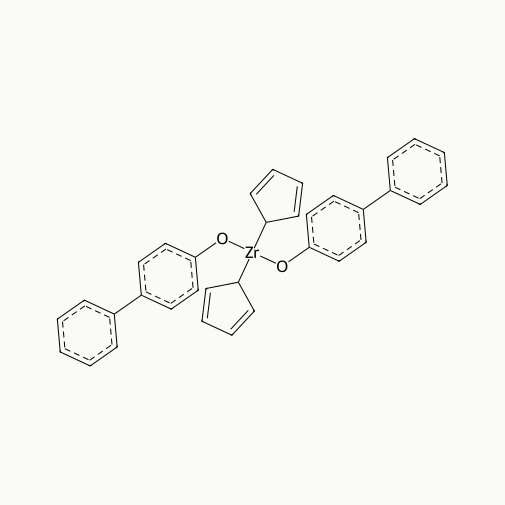 C1=C[CH]([Zr]([O]c2ccc(-c3ccccc3)cc2)([O]c2ccc(-c3ccccc3)cc2)[CH]2C=CC=C2)C=C1